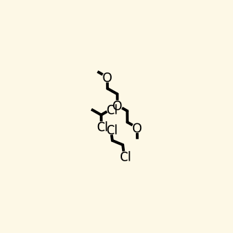 CC(Cl)Cl.COCCOCCOC.ClCCCl